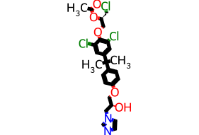 CC(=O)O[C@H](CCl)COc1c(Cl)cc(C(C)(C)c2ccc(OC[C@H](O)Cn3ccnc3)cc2)cc1Cl